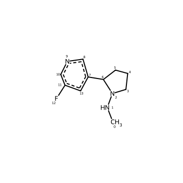 CNN1CCCC1c1cncc(F)c1